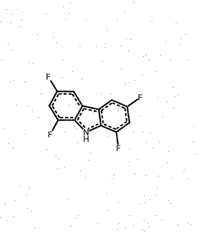 Fc1cc(F)c2[nH]c3c(F)cc(F)cc3c2c1